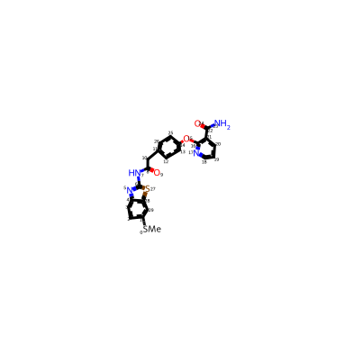 CSc1ccc2nc(NC(=O)Cc3ccc(Oc4ncccc4C(N)=O)cc3)sc2c1